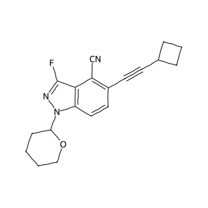 N#Cc1c(C#CC2CCC2)ccc2c1c(F)nn2C1CCCCO1